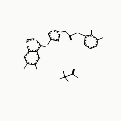 O=C(Cn1cc(Nc2ncnc3cc(O)c(F)cc23)cn1)Nc1cccc(F)c1F.O=C(O)C(F)(F)F